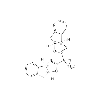 O.c1ccc2c(c1)C[C@@H]1OC(C3(C4=N[C@@H]5c6ccccc6C[C@@H]5O4)CC3)=N[C@H]21